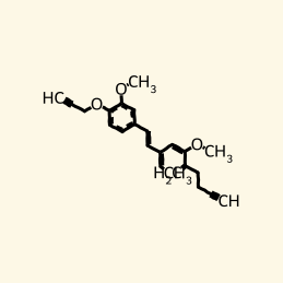 C#CCCC(=C)\C(=C/C(=C\C)/C=C/c1ccc(OCC#C)c(OC)c1)OC